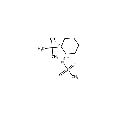 CC(C)(C)[C@H]1CCCC[C@@H]1NS(C)(=O)=O